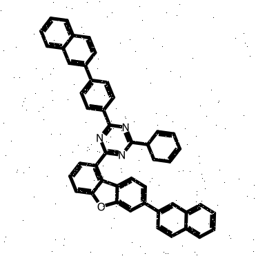 C1=CCC(c2nc(-c3ccc(-c4ccc5ccccc5c4)cc3)nc(-c3cccc4oc5cc(-c6ccc7ccccc7c6)ccc5c34)n2)C=C1